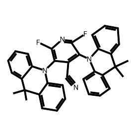 CC1(C)c2ccccc2N(c2c(F)nc(F)c(N3c4ccccc4C(C)(C)c4ccccc43)c2C#N)c2ccccc21